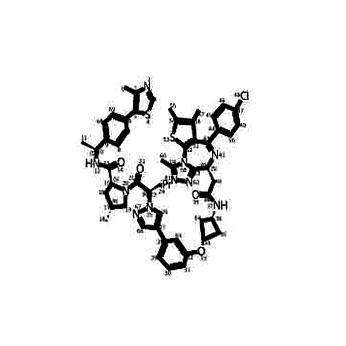 Cc1ncsc1-c1ccc([C@H](C)NC(=O)[C@@H]2C[C@@H](C)CN2C(=O)[C@@H](C(C)C)n2cc(-c3cccc(O[C@H]4C[C@@H](NC(=O)C[C@@H]5N=C(c6ccc(Cl)cc6)c6c(sc(C)c6C)-n6c(C)nnc65)C4)c3)cn2)cc1